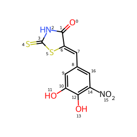 O=C1NC(=S)S/C1=C\c1cc(O)c(O)c([N+](=O)[O-])c1